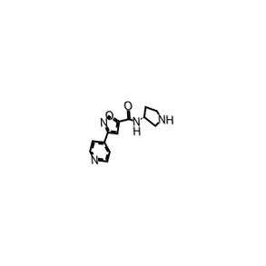 O=C(N[C@@H]1CCNC1)c1cc(-c2ccncc2)no1